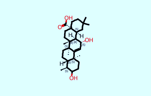 C[C@@H]1C(O)CC[C@]2(C)C3=C[C@@H](O)[C@@H]4[C@@H]5CC(C)(C)CC[C@]5(C(=O)O)CC[C@@]4(C)[C@]3(C)CC[C@@H]12